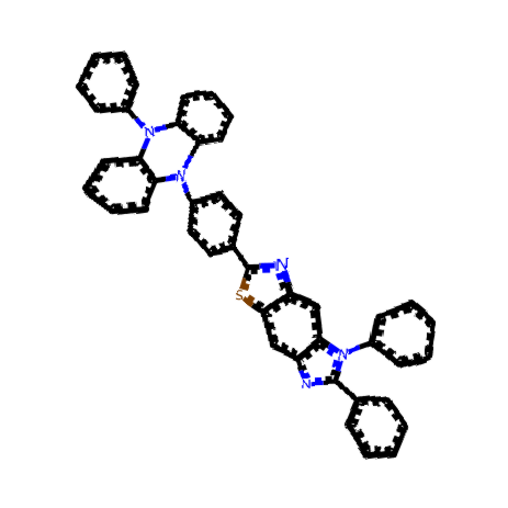 c1ccc(-c2nc3cc4sc(-c5ccc(N6c7ccccc7N(c7ccccc7)c7ccccc76)cc5)nc4cc3n2-c2ccccc2)cc1